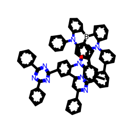 Cc1ccc2c(c1)c1ccccc1n2-c1ccc(-c2nc(-c3ccccc3)nc(-c3ccccc3)n2)cc1-c1cc(-c2ccccc2)nc(-c2cccc(-c3cccc(N4c5ccccc5B5c6ccccc6N(c6ccccc6)c6cccc4c65)c3)c2)n1